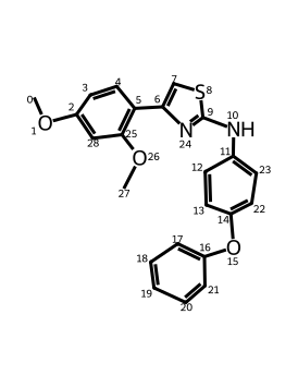 COc1ccc(-c2csc(Nc3ccc(Oc4ccccc4)cc3)n2)c(OC)c1